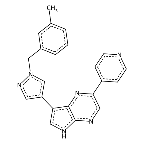 Cc1cccc(Cn2cc(-c3c[nH]c4ncc(-c5ccncc5)nc34)cn2)c1